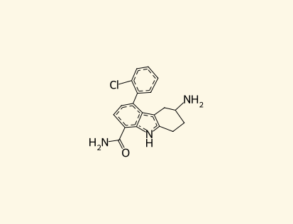 NC(=O)c1ccc(-c2ccccc2Cl)c2c3c([nH]c12)CCC(N)C3